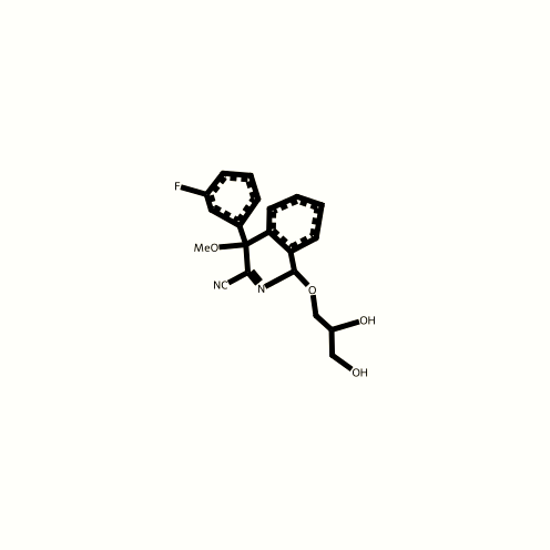 COC1(c2cccc(F)c2)C(C#N)=NC(OCC(O)CO)c2ccccc21